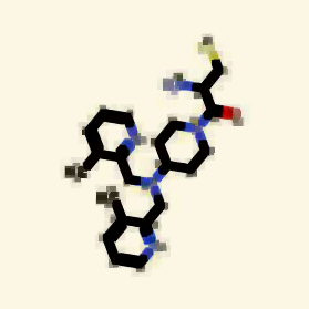 Cc1cccnc1CN(Cc1ncccc1C)C1CCN(C(=O)C(N)CS)CC1